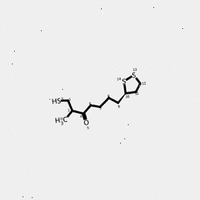 CC(CS)C(=O)CCCC[C@@H]1CCSS1